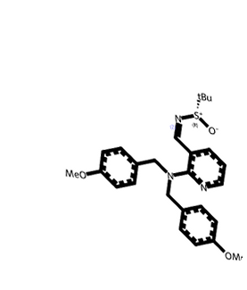 COc1ccc(CN(Cc2ccc(OC)cc2)c2ncccc2/C=N\[S@@+]([O-])C(C)(C)C)cc1